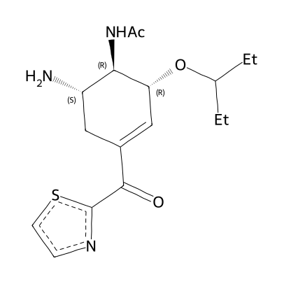 CCC(CC)O[C@@H]1C=C(C(=O)c2nccs2)C[C@H](N)[C@H]1NC(C)=O